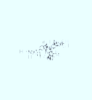 CNC[C@@H](O)COc1ccc(C(F)(F)F)c(-c2nc(-c3c(C)noc3C)c(C)c(N3CC(=N)/C(=C\NC(C)C)C3)n2)c1